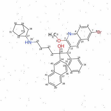 COc1nc2ccc(Br)cc2cc1C(c1ccccc1)C(O)(CCCCNC1CC2CCC1C2)c1ccc2ccccc2c1